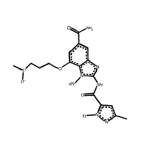 CCCn1c(NC(=O)c2cc(C)nn2CC)nc2cc(C(N)=O)cc(OCCC[S+](C)[O-])c21